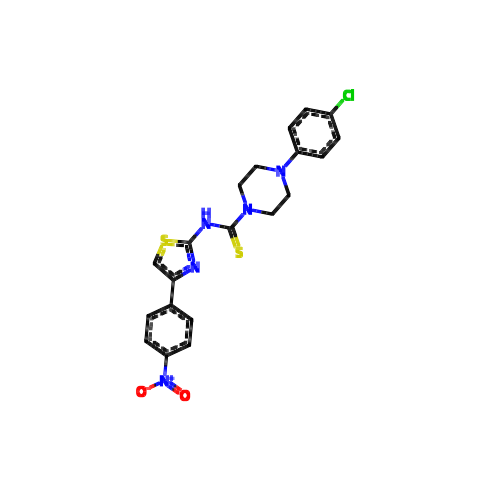 O=[N+]([O-])c1ccc(-c2csc(NC(=S)N3CCN(c4ccc(Cl)cc4)CC3)n2)cc1